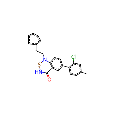 Cc1ccc(-c2ccc3c(c2)C(=O)NSN3CCc2ccccc2)c(Cl)c1